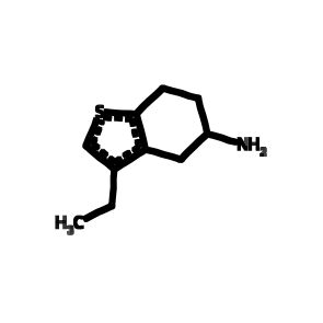 CCc1csc2c1CC(N)CC2